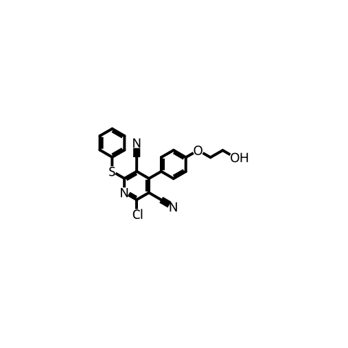 N#Cc1c(Cl)nc(Sc2ccccc2)c(C#N)c1-c1ccc(OCCO)cc1